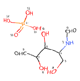 O=CNC(CO)C(O)C(O)C=O.O=P(O)(O)O